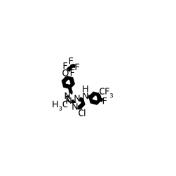 CN(/N=C/c1ccc(OC(F)(F)C(F)F)cc1)c1nc(Cl)cc(Nc2ccc(F)c(C(F)(F)F)c2)n1